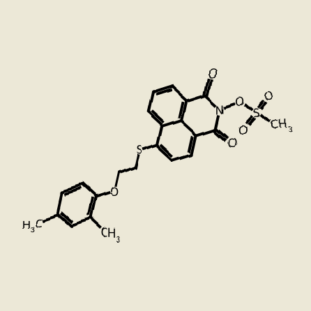 Cc1ccc(OCCSc2ccc3c4c(cccc24)C(=O)N(OS(C)(=O)=O)C3=O)c(C)c1